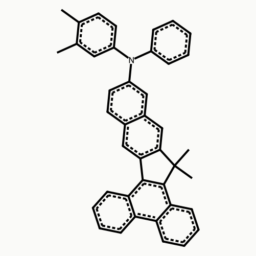 Cc1ccc(N(c2ccccc2)c2ccc3cc4c(cc3c2)C(C)(C)c2c-4c3ccccc3c3ccccc23)cc1C